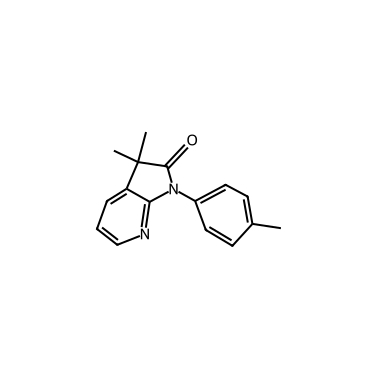 Cc1ccc(N2C(=O)C(C)(C)c3cccnc32)cc1